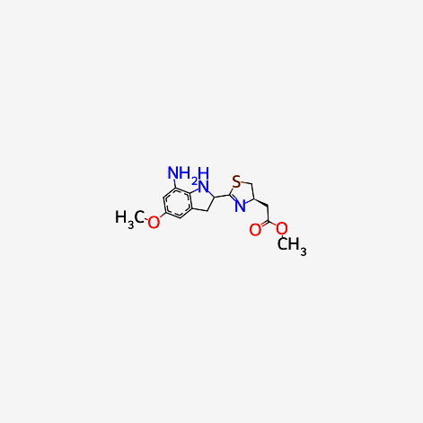 COC(=O)C[C@@H]1CSC(C2Cc3cc(OC)cc(N)c3N2)=N1